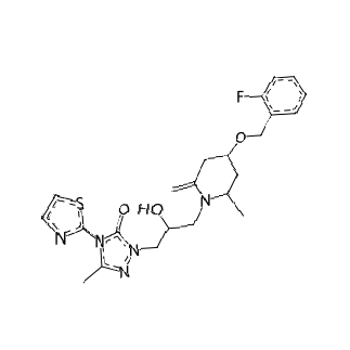 C=C1CC(OCc2ccccc2F)CC(C)N1CC(O)Cn1nc(C)n(-c2nccs2)c1=O